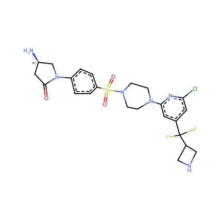 N[C@@H]1CC(=O)N(c2ccc(S(=O)(=O)N3CCN(c4cc(C(F)(F)C5CNC5)cc(Cl)n4)CC3)cc2)C1